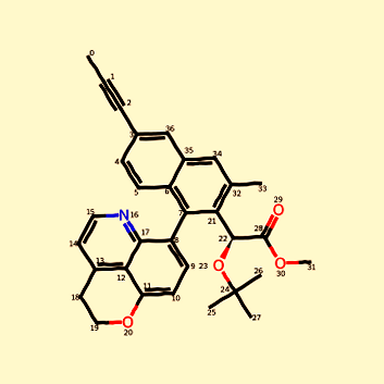 CC#Cc1ccc2c(-c3ccc4c5c(ccnc35)CCO4)c([C@H](OC(C)(C)C)C(=O)OC)c(C)cc2c1